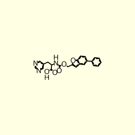 O=C(NC(Cc1cncnc1)C(=O)O)OCc1cc2cc(-c3ccccc3)ccc2o1